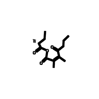 CCCC(=O)OC(=O)C(C)=C(C)C(=O)CCC.[Ti]